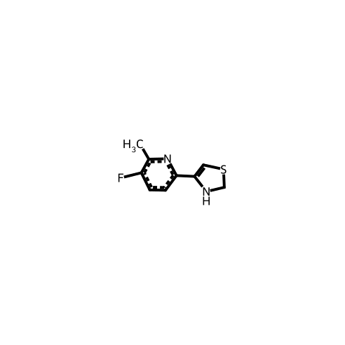 Cc1nc(C2=CSCN2)ccc1F